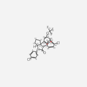 O=C1N(c2ccc(Cl)cc2)[C@H]2CCCC2(c2cccc(OC(F)(F)F)c2)N1c1ccc(Cl)cc1